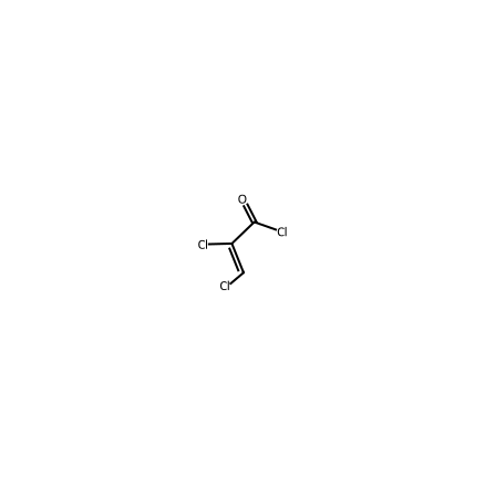 O=C(Cl)/C(Cl)=C/Cl